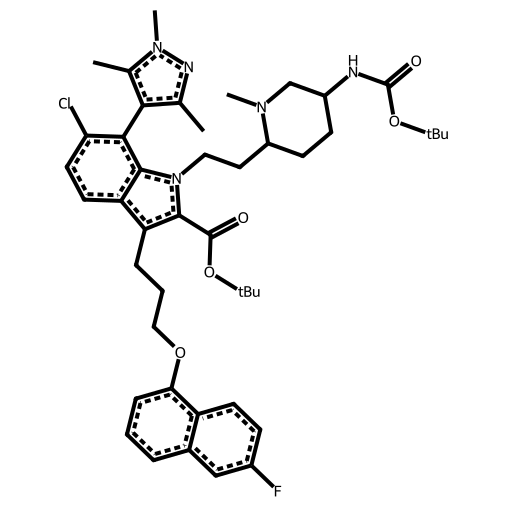 Cc1nn(C)c(C)c1-c1c(Cl)ccc2c(CCCOc3cccc4cc(F)ccc34)c(C(=O)OC(C)(C)C)n(CCC3CCC(NC(=O)OC(C)(C)C)CN3C)c12